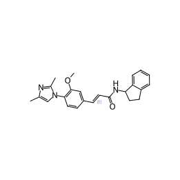 COc1cc(/C=C/C(=O)NC2CCc3ccccc32)ccc1-n1cc(C)nc1C